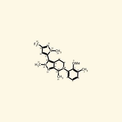 COc1c(C)[c]ccc1N1CCc2c(nn(C)c2-c2cc(C(F)(F)F)nn2C)[C@@H]1C